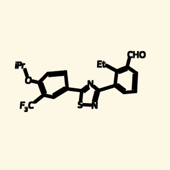 CCc1c(C=O)cccc1-c1nsc(-c2ccc(OC(C)C)c(C(F)(F)F)c2)n1